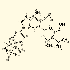 CC(C)N(C(=O)CO)[C@H](C)CCc1nc2c(-c3ccc(C(N)(C(F)(F)F)C(F)(F)F)nc3)cnn2c(N)c1C1CC1